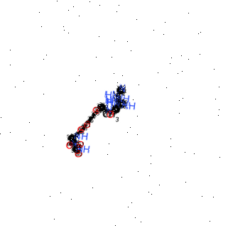 C[C@@H](NC(=O)c1cccc(NC2(C(=N)NC(=N)c3ccncc3)CCNCC2)c1)c1cccc(OCCCCCCOCCOCCNc2cccc3c2CN(C2CCC(=O)NC2=O)C3=O)c1